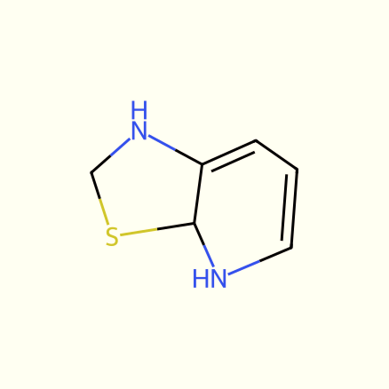 C1=CNC2SCNC2=C1